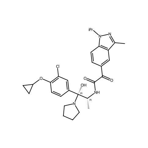 Cc1nn(C(C)C)c2ccc(C(=O)C(=O)N[C@H](C)[C@](O)(c3ccc(OC4CC4)c(Cl)c3)N3CCCC3)cc12